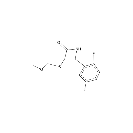 COCSC1C(=O)NC1c1cc(F)ccc1F